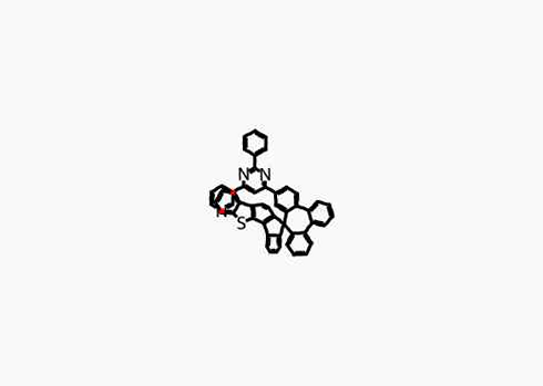 c1ccc(-c2nc(-c3cccnc3)cc(-c3ccc4c(c3)C3(c5ccccc5-c5ccccc5-4)c4ccccc4-c4c3ccc3c4sc4ccccc43)n2)cc1